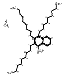 C=O.CCCCCCCCCCCCCCCCCCc1c(CCCCCCCCCCCCCCCCCC)c(S(=O)(=O)O)c2ccccc2c1CCCCCCCCCCCCCCCCCC